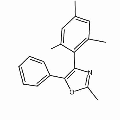 Cc1cc(C)c(-c2nc(C)oc2-c2ccccc2)c(C)c1